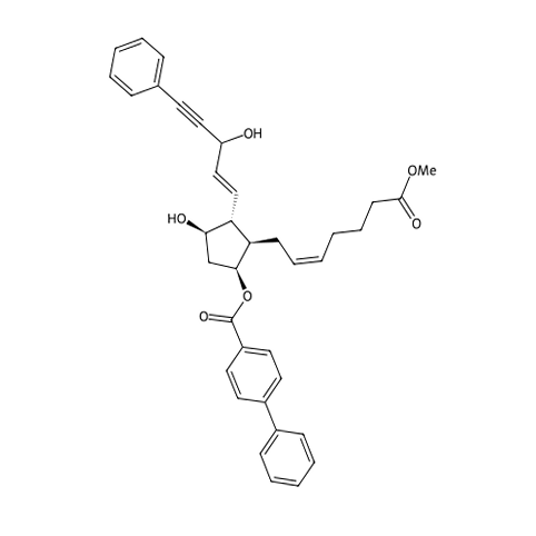 COC(=O)CCC/C=C\C[C@@H]1[C@@H](/C=C/C(O)C#Cc2ccccc2)[C@H](O)C[C@@H]1OC(=O)c1ccc(-c2ccccc2)cc1